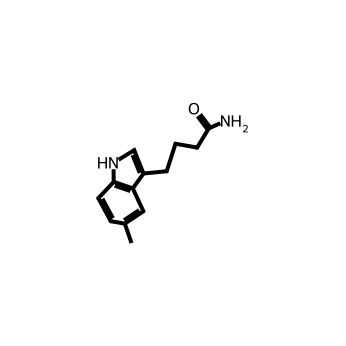 Cc1ccc2[nH]cc(CCCC(N)=O)c2c1